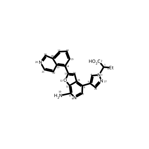 CCC(C(=O)O)n1cc(-c2cnc(N)c3oc(-c4cccc5cnccc45)cc23)cn1